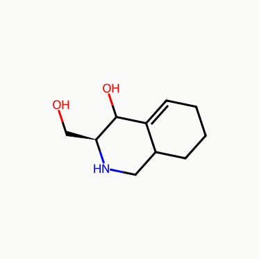 OC[C@@H]1NCC2CCCC=C2C1O